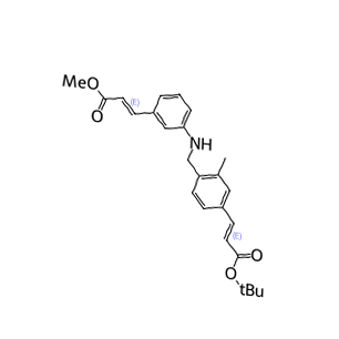 COC(=O)/C=C/c1cccc(NCc2ccc(/C=C/C(=O)OC(C)(C)C)cc2C)c1